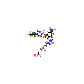 O=C(O)CCCC(=O)OCCn1nnnc1Sc1ccc([N+](=O)[O-])cc1C(=O)Nc1ncc(C(F)(F)C(F)(F)C(F)(F)F)cc1F